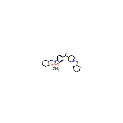 CS(=O)(=O)N(CC1CCCCC1)c1ccc(C(=O)C2CCN(CC3CCCCC3)CC2)cc1